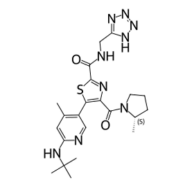 Cc1cc(NC(C)(C)C)ncc1-c1sc(C(=O)NCc2nnn[nH]2)nc1C(=O)N1CCC[C@@H]1C